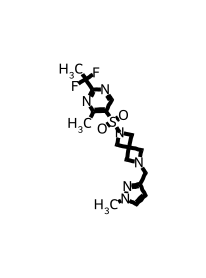 Cc1nc(C(C)(F)F)ncc1S(=O)(=O)N1CC2(CN(Cc3ccn(C)n3)C2)C1